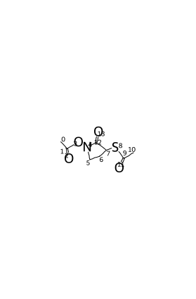 CC(=O)ON1CCC(SC(C)=O)C1=O